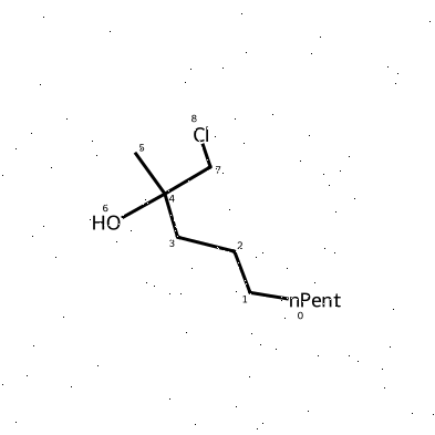 CCCCCCCCC(C)(O)CCl